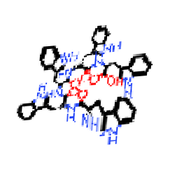 N[C@@H](Cc1c[nH]c2ccccc12)C(=O)N[C@H](Cc1c[nH]c2ccccc12)C(=O)N[C@@H](Cc1c[nH]c2ccccc12)C(=O)N[C@H](Cc1c[nH]c2ccccc12)C(=O)N[C@@H](Cc1c[nH]c2ccccc12)C(=O)O